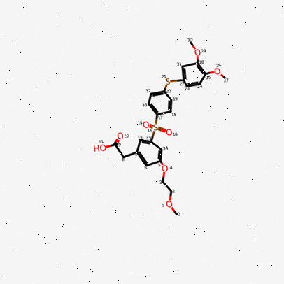 COCCOc1cc(CC(=O)O)cc(S(=O)(=O)c2ccc(Sc3ccc(OC)c(OC)c3)cc2)c1